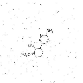 CC(C)(C)C1C(c2ccc(N)nc2)CCCN1C(=O)O